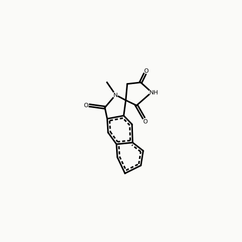 CN1C(=O)c2cc3ccccc3cc2C12CC(=O)NC2=O